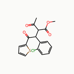 COC(=O)C(C(C)=O)C(C(=O)c1cccs1)c1ccccc1Cl